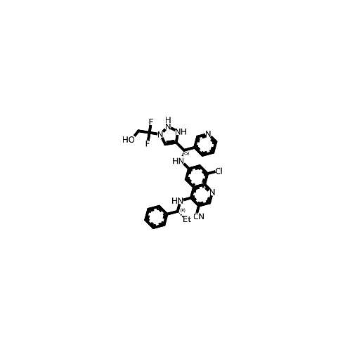 CC[C@@H](Nc1c(C#N)cnc2c(Cl)cc(N[C@H](C3=CN(C(F)(F)CO)NN3)c3cccnc3)cc12)c1ccccc1